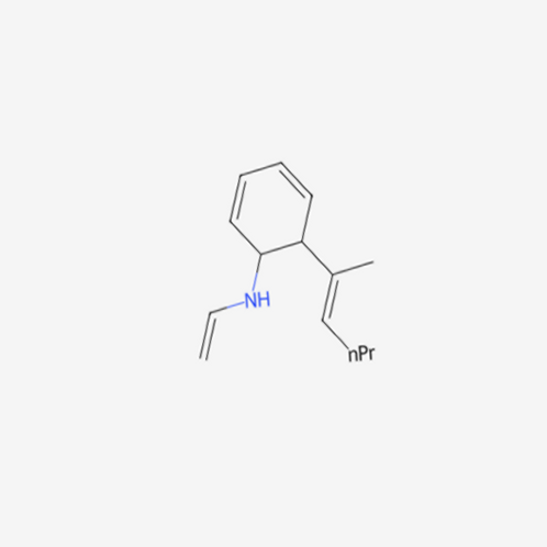 C=CNC1C=CC=CC1/C(C)=C/CCC